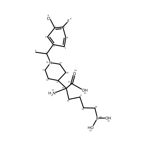 CC(c1ccc(F)c(Cl)c1)N1CCC(C(N)(CCCCB(O)O)C(=O)O)CC1